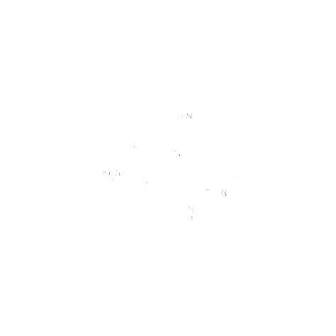 CN(C)[C@H](C(N)=O)c1ccnc2[nH]cc(-c3ccnc(N)n3)c12